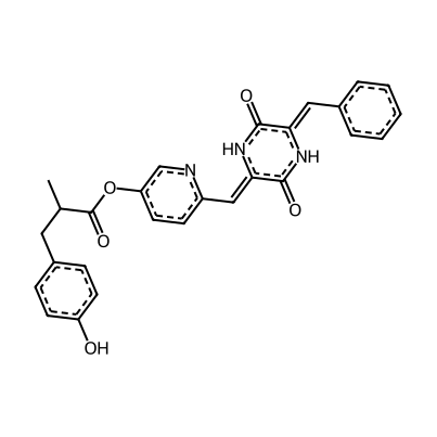 CC(Cc1ccc(O)cc1)C(=O)Oc1ccc(/C=c2\[nH]c(=O)/c(=C/c3ccccc3)[nH]c2=O)nc1